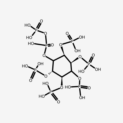 O=P(O)(O)OC1[C@@H](OP(=O)(O)O)[C@H](OP(=O)(O)O)C(OP(=O)(O)OP(=O)(O)O)[C@@H](OP(=O)(O)O)[C@H]1OP(=O)(O)O